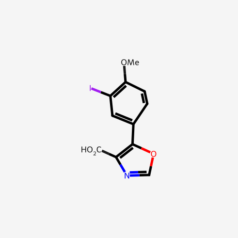 COc1ccc(-c2ocnc2C(=O)O)cc1I